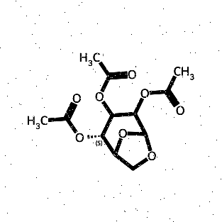 CC(=O)OC1C2OCC(O2)[C@H](OC(C)=O)C1OC(C)=O